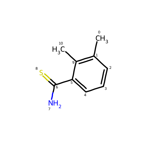 Cc1cccc(C(N)=S)c1C